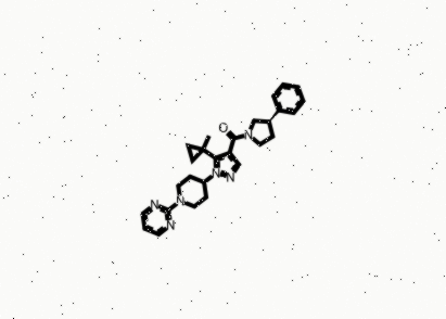 CC1(c2c(C(=O)N3CC[C@H](c4ccccc4)C3)cnn2C2CCN(c3ncccn3)CC2)CC1